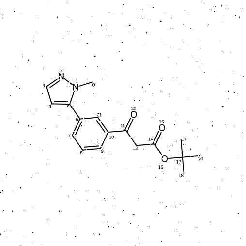 Cn1nccc1-c1cccc(C(=O)CC(=O)OC(C)(C)C)c1